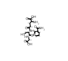 NC(=O)c1cccnc1.NC(CCC(=O)NC(CS)C(=O)NCC(=O)O)C(=O)O